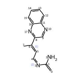 C=C(N)/N=C\C=C(/C)c1cnc2ccccc2n1